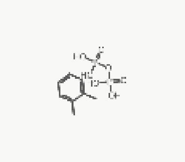 Cc1ccccc1C.O=P(O)(O)OP(=O)(O)O